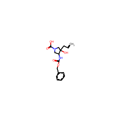 C=CCC1(O)CN(C(=O)O)CC1NC(=O)OCc1ccccc1